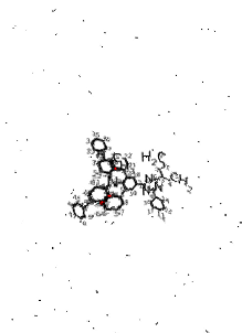 C=C/C=C(\C=C)c1nc(-c2ccccc2)nc(-c2cc(C(/C=C\C)=C/C)c(N(c3ccc(-c4ccccc4)cc3)c3ccc(-c4ccccc4)cc3)c(-c3ccccc3)c2)n1